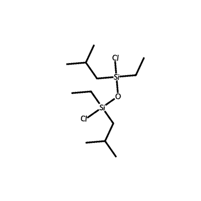 CC[Si](Cl)(CC(C)C)O[Si](Cl)(CC)CC(C)C